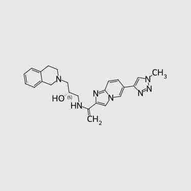 C=C(NC[C@H](O)CN1CCc2ccccc2C1)c1cn2cc(-c3cn(C)nn3)ccc2n1